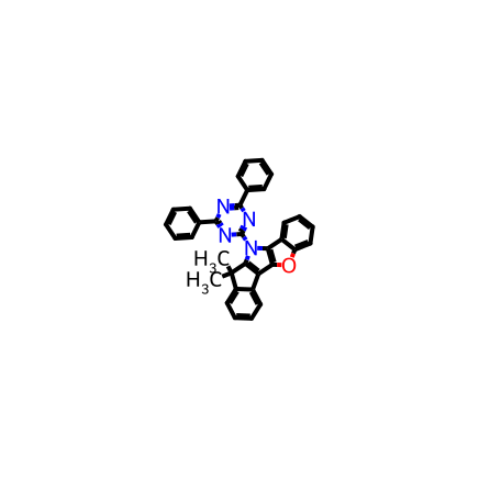 CC1(C)c2ccccc2-c2c1n(-c1nc(-c3ccccc3)nc(-c3ccccc3)n1)c1c2oc2ccccc21